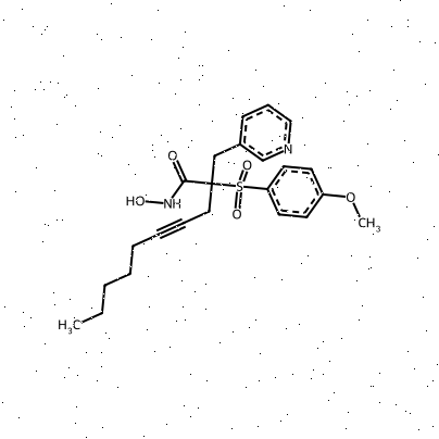 CCCCCC#CCC(Cc1cccnc1)(C(=O)NO)S(=O)(=O)c1ccc(OC)cc1